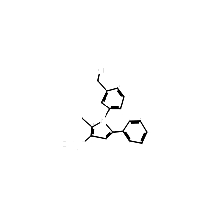 CCOC(=O)c1cc(-c2ccccc2)n(-c2cccc(CC(F)(F)F)c2)c1C